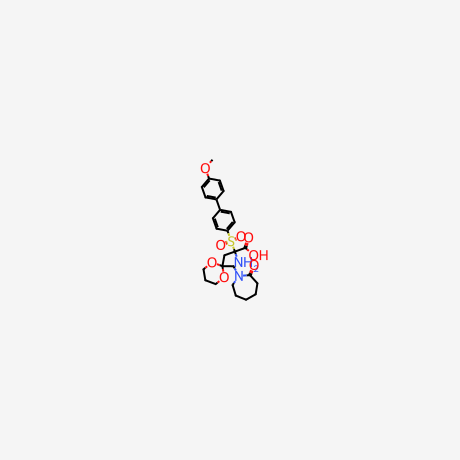 COc1ccc(-c2ccc(S(=O)(=O)C(N)(CC3(CN4CCCCCC4=O)OCCCO3)C(=O)O)cc2)cc1